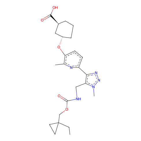 CCC1(COC(=O)NCc2c(-c3ccc(O[C@H]4CCC[C@H](C(=O)O)C4)c(C)n3)nnn2C)CC1